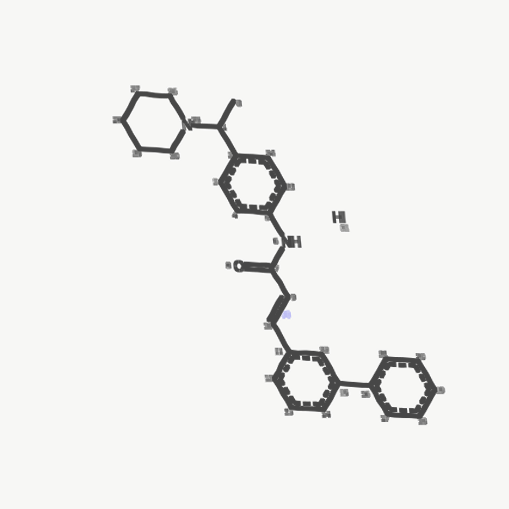 CC(c1ccc(NC(=O)/C=C/c2cccc(-c3ccccc3)c2)cc1)N1CCCCC1.I